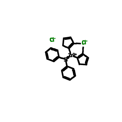 CC1=[C]([Zr+2]([C]2=C(C)C=CC2)=[Si](c2ccccc2)c2ccccc2)CC=C1.[Cl-].[Cl-]